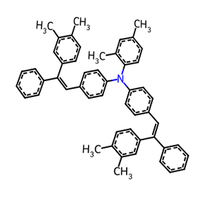 Cc1ccc(N(c2ccc(/C=C(/c3ccccc3)c3ccc(C)c(C)c3)cc2)c2ccc(/C=C(/c3ccccc3)c3ccc(C)c(C)c3)cc2)c(C)c1